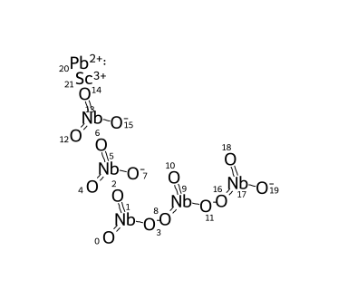 [O]=[Nb](=[O])[O-].[O]=[Nb](=[O])[O-].[O]=[Nb](=[O])[O-].[O]=[Nb](=[O])[O-].[O]=[Nb](=[O])[O-].[Pb+2].[Sc+3]